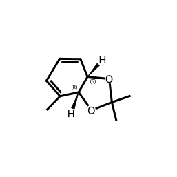 CC1=CC=C[C@@H]2OC(C)(C)O[C@H]12